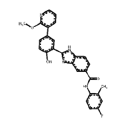 COc1ncccc1-c1ccc(O)c(-c2nc3cc(C(=O)Nc4ccc(F)cc4C)ccc3[nH]2)c1